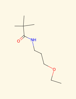 CCOCCCNC(=O)C(C)(C)C